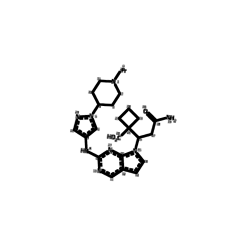 CC(C)N1CCC(n2cc(Nc3ncc4ccn(C(CC(N)=O)C5(C(=O)O)CCC5)c4n3)cn2)CC1